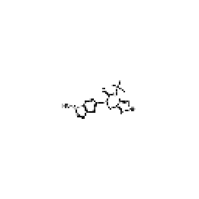 CC(C)(C)OC(=O)N(Cc1nn[nH]n1)c1ccc2c(cnn2O)c1